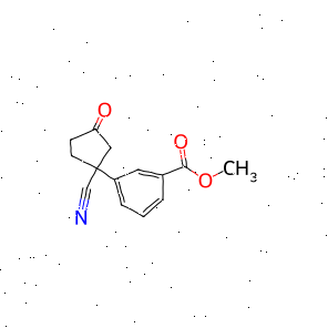 COC(=O)c1cccc(C2(C#N)CCC(=O)C2)c1